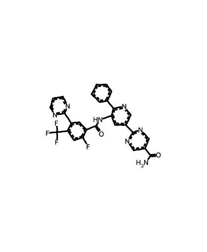 NC(=O)c1cnc(-c2cnc(-c3ccccc3)c(NC(=O)c3cc(-c4ncccn4)c(C(F)(F)F)cc3F)c2)nc1